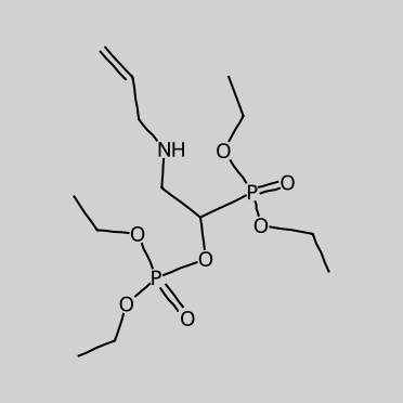 C=CCNCC(OP(=O)(OCC)OCC)P(=O)(OCC)OCC